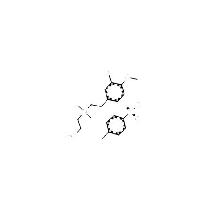 COc1ccc(CC[N+](C)(C)CCO)cc1I.Cc1ccc(S(=O)(=O)[O-])cc1